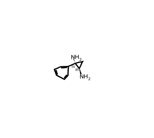 N[C@@H]1C[C@]1(N)c1ccccc1